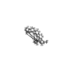 FC1C2c3c4ccc5c6ccc7c8ccc9c%10ccc%11c(c%12c3c3c4c5c4c6c7c5c8c9c6c%10c%11c%12c7c3c4c5c67)C12